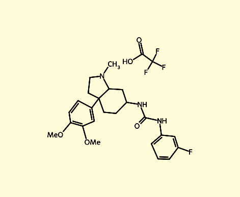 COc1ccc(C23CCC(NC(=O)Nc4cccc(F)c4)CC2N(C)CC3)cc1OC.O=C(O)C(F)(F)F